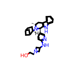 C[C@@H]1Cc2c([nH]c3ccccc23)[C@@H](c2ccc(NC3CN(CCO)C3)nc2)N1[C@@H]1CCC2CC1C2